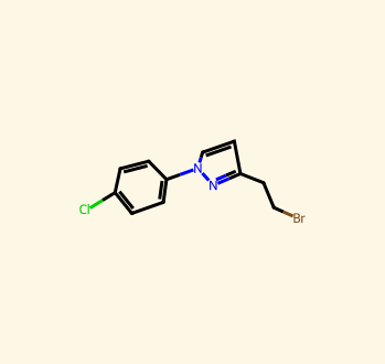 Clc1ccc(-n2ccc(CCBr)n2)cc1